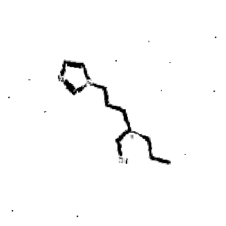 CCC[C@@H](CO)CCCn1ccnc1